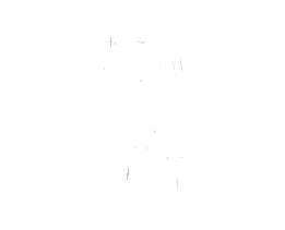 CCC(C)(C)C(=O)Oc1ccc(C(C)(O)C(F)(F)F)c(O)c1